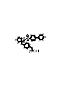 O=C(O)Cc1ccc(CC2(CNS(=O)(=O)c3ccc(-c4ccccc4)cc3)CCCC2)cc1